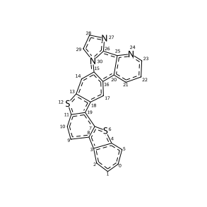 c1ccc2c(c1)sc1c2ccc2sc3cc4c(cc3c21)c1cccnc1c1nccn41